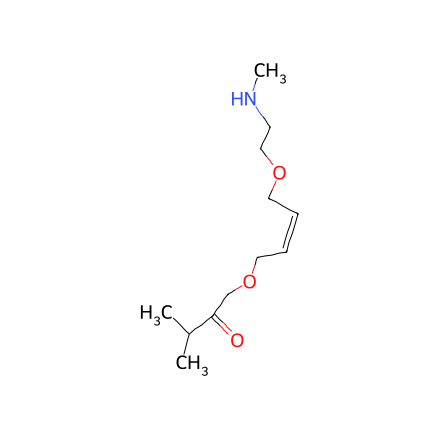 CNCCOC/C=C\COCC(=O)C(C)C